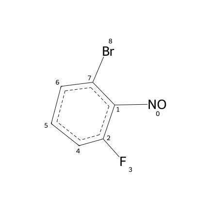 O=Nc1c(F)cccc1Br